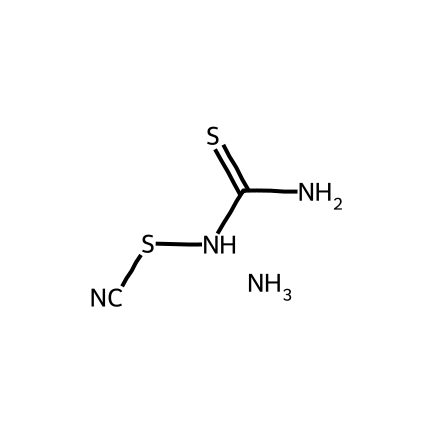 N.N#CSNC(N)=S